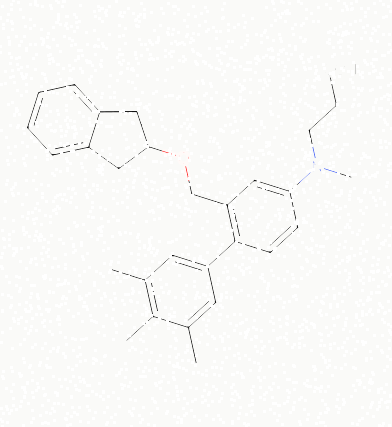 Cc1cc(-c2ccc(N(C)CCC(=O)O)cc2COC2Cc3ccccc3C2)cc(C)c1C